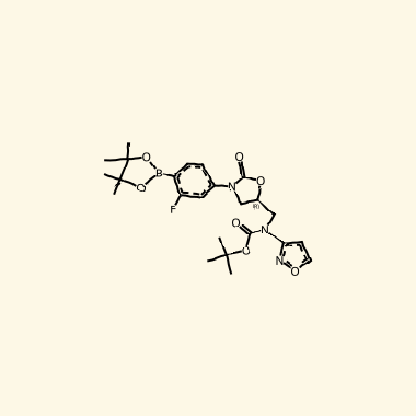 CC(C)(C)OC(=O)N(C[C@H]1CN(c2ccc(B3OC(C)(C)C(C)(C)O3)c(F)c2)C(=O)O1)c1ccon1